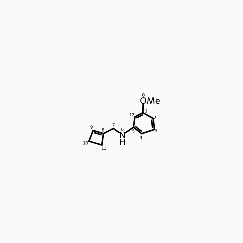 COc1cccc(NCC2=CCC2)c1